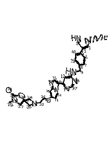 CN/C=C(\C=N)c1ccc(CNc2cc(-c3cnc4cc(OCCN5CC6(C5)CN(C)C(=O)O6)ccn34)ncn2)cc1